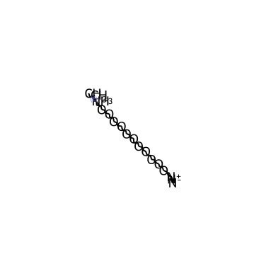 CC/C(C)=C/NCCOCCOCCOCCOCCOCCOCCOCCOCCOCCOCCOCCN=[N+]=[N-]